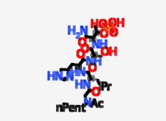 CCCCCN(CC(=O)N[C@@H](CC(C)C)C(=O)N[C@@H](CC1CNC=N1)C(=O)N[C@@H](CO)C(=O)N[C@H](C(N)=O)[C@@H](C)OP(=O)(O)O)C(C)=O